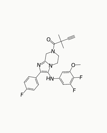 C#CC(C)(C)C(=O)N1CCn2c(nc(-c3ccc(F)cc3)c2Nc2cc(F)c(F)c(OC)c2)C1